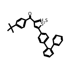 CC(C)(C)c1ccc(C(=O)c2csc(-c3ccc(-c4ccccc4-c4ccccc4)cc3)c2)cc1.S